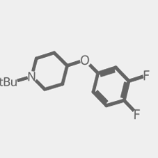 CC(C)(C)N1CCC(Oc2ccc(F)c(F)c2)CC1